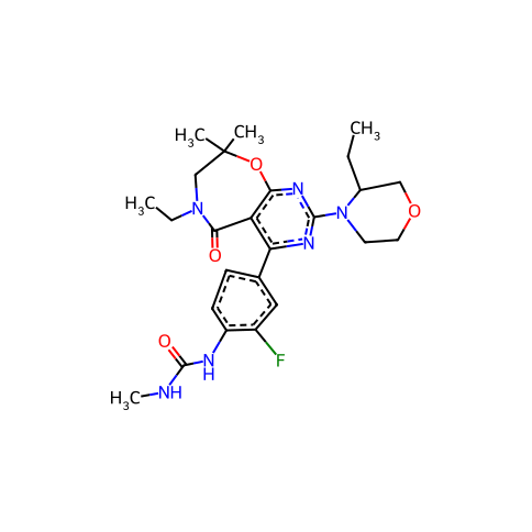 CCC1COCCN1c1nc2c(c(-c3ccc(NC(=O)NC)c(F)c3)n1)C(=O)N(CC)CC(C)(C)O2